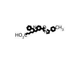 CC1CC=C([C@@H]2CCN(CC(=O)c3ccc4nc(-c5ccccc5)c(CCCCC(=O)O)cc4c3)C2)CC1